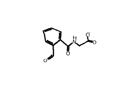 O=Cc1ccccc1C(=O)NCC(=O)Cl